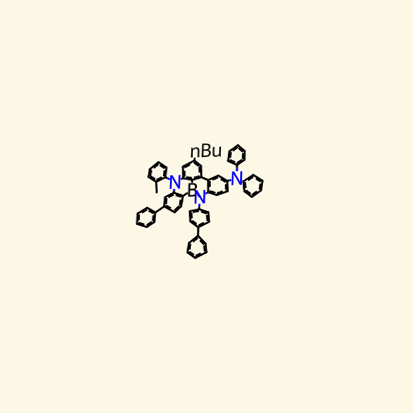 CCCCc1cc2c3c(c1)N(c1ccccc1C)c1cc(-c4ccccc4)ccc1B3N(c1ccc(-c3ccccc3)cc1)c1ccc(N(c3ccccc3)c3ccccc3)cc1-2